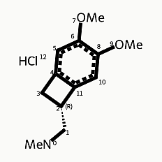 CNC[C@@H]1Cc2cc(OC)c(OC)cc21.Cl